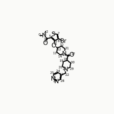 CN(C)C(=O)c1scc(Br)c1OC1CCN(C(=O)C2CCN(Cc3ccnnc3)CC2)CC1